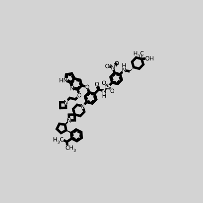 CC(C)c1ccccc1[C@H]1CCC[C@H]1N1CC2(CCN(c3ccc(C(=O)NS(=O)(=O)c4ccc(NC[C@H]5CC[C@](C)(O)CC5)c([N+](=O)[O-])c4)c(Oc4cc5cc[nH]c5nc4OCCN4CCC4)c3)CC2)C1